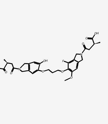 COc1cc2c(c(F)c1OCCCOc1cc3c(cc1O)CN(C(=O)C[C@H](C)C(=O)O)C3)CN(C(=O)C[C@H](C)C(=O)O)C2